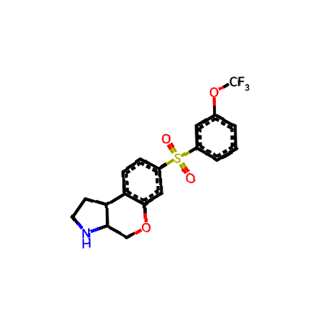 O=S(=O)(c1cccc(OC(F)(F)F)c1)c1ccc2c(c1)OCC1NCCC21